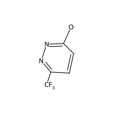 [O]c1ccc(C(F)(F)F)nn1